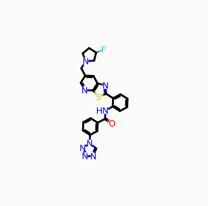 O=C(Nc1ccccc1-c1nc2cc(CN3CC[C@@H](F)C3)cnc2s1)c1cccc(-n2cnnn2)c1